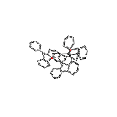 c1ccc(-c2ccc3c(c2-n2c4ccccc4c4cccc([Si](c5ccccc5)(c5ccccc5)c5ccccc5)c42)c2ccccc2n3-c2ccccc2)cc1